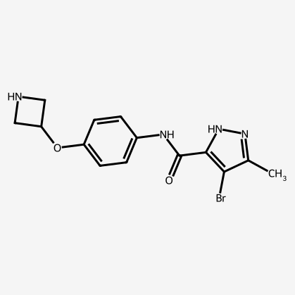 Cc1n[nH]c(C(=O)Nc2ccc(OC3CNC3)cc2)c1Br